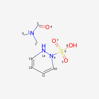 CN(C)C=O.O=S(=O)(O)N1C=CC=CN1